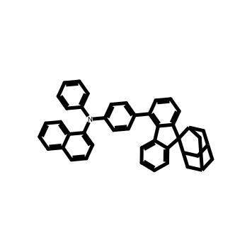 c1ccc(N(c2ccc(-c3cccc4c3-c3ccccc3C43C4CC5CC(C4)CC3C5)cc2)c2cccc3ccccc23)cc1